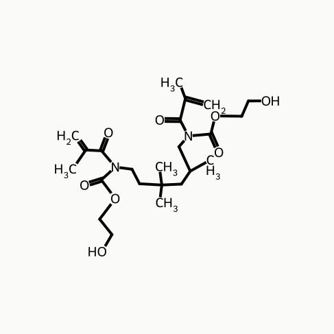 C=C(C)C(=O)N(CCC(C)(C)CC(C)CN(C(=O)OCCO)C(=O)C(=C)C)C(=O)OCCO